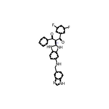 O=C(/C(C(=O)c1cc(F)cc(F)c1)=C1\Nc2ccc(NCc3ccc4[nH]cnc4c3)cc2N1)c1ccccc1